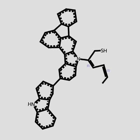 C/C=C\C=C(/CS)n1c2ccc(-c3ccc4[nH]c5ccccc5c4c3)cc2c2c3cccc4c3c(cc21)-c1ccccc1-4